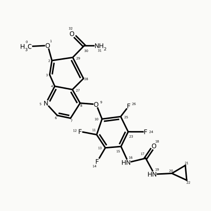 COc1cc2nccc(Oc3c(F)c(F)c(NC(=O)NC4CC4)c(F)c3F)c2cc1C(N)=O